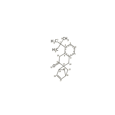 CC(C)(C)c1cccc2c1CC(=O)C1(C2)CC2C=CC1C2